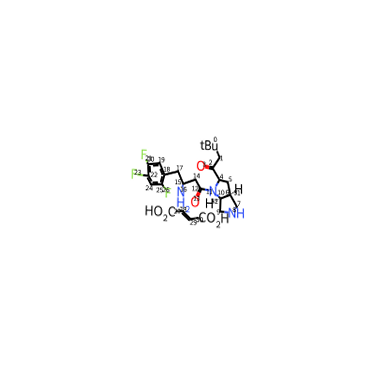 CC(C)(C)CC(=O)C1C[C@H]2CNC[C@H]2N1C(=O)CC(N)Cc1cc(F)c(F)cc1F.O=C(O)C=CC(=O)O